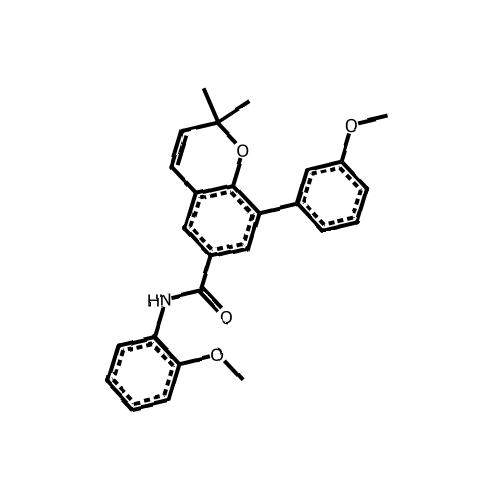 COc1cccc(-c2cc(C(=O)Nc3ccccc3OC)cc3c2OC(C)(C)C=C3)c1